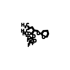 C=C(OS(=O)(=O)C(F)(F)F)C(COC1CCCCO1)CC(C)C